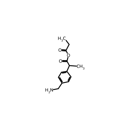 CCC(=O)OC(=O)C(C)c1ccc(CN)cc1